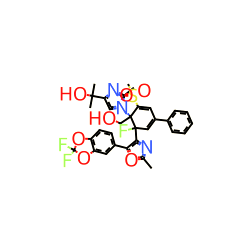 Cc1nc(C2(F)C=C(c3ccccc3)C=C(S(C)(=O)=O)C2(CO)n2cc(C(C)(C)O)nc2C)c(-c2ccc3c(c2)OC(F)(F)O3)o1